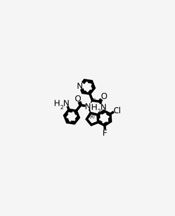 NC(=O)[C@@H](c1cccnc1)N(C(=O)c1ccccc1N)[C@@H]1CCc2c(F)cc(Cl)cc21